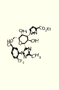 CCOC(=O)c1ccn([C@H]2[C@@H](O)[C@@H](CO)O[C@@H](c3nc(C)nn3-c3cc(Cl)ccc3C(F)(F)F)[C@@H]2O)n1